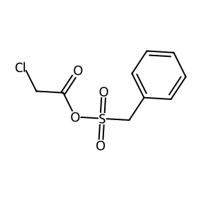 O=C(CCl)OS(=O)(=O)Cc1ccccc1